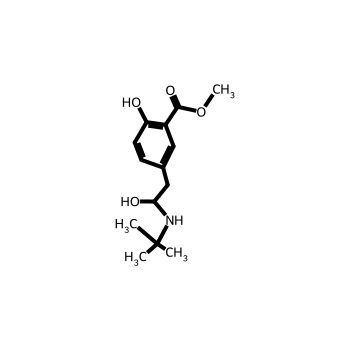 COC(=O)c1cc(CC(O)NC(C)(C)C)ccc1O